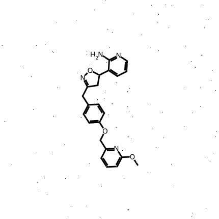 COc1cccc(COc2ccc(CC3=NOC(c4cccnc4N)C3)cc2)n1